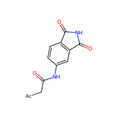 CC(=O)CC(=O)Nc1ccc2c(c1)C(=O)NC2=O